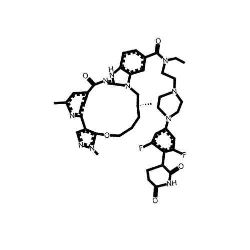 CCN(CCN1CCN(c2cc(F)c(C3CCC(=O)NC3=O)c(F)c2)CC1)C(=O)c1ccc2c(c1)N1C[C@H](C)CCCOc3c(cnn3C)-c3cc(cc(C)n3)C(=O)/N=C/1N2